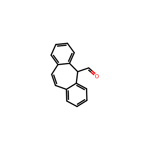 O=CC1c2ccccc2C=Cc2ccccc21